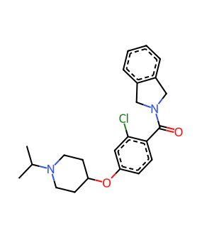 CC(C)N1CCC(Oc2ccc(C(=O)N3Cc4ccccc4C3)c(Cl)c2)CC1